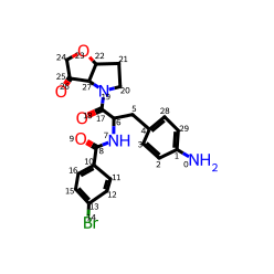 Nc1ccc(CC(NC(=O)c2ccc(Br)cc2)C(=O)N2CCC3OCC(=O)C32)cc1